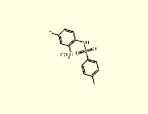 Cc1ccc(S(=O)(=O)Nc2ccc(F)cc2C(=O)O)cc1